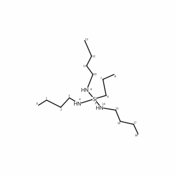 CCCCN[Si](CCC)(NCCCC)NCCCC